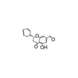 O=Cc1cc(O)c2c(c1)O[C@H](C1C=CC=CC1)CC2=O